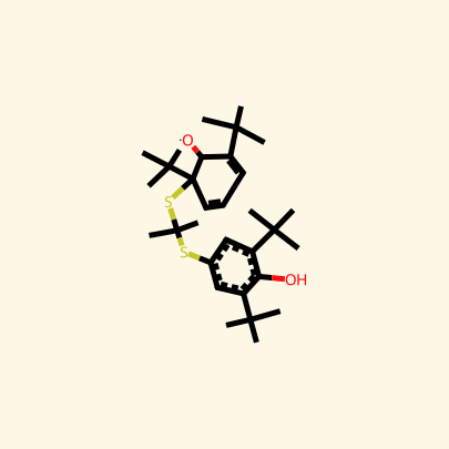 CC(C)(Sc1cc(C(C)(C)C)c(O)c(C(C)(C)C)c1)SC1(C(C)(C)C)C=CC=C(C(C)(C)C)C1[O]